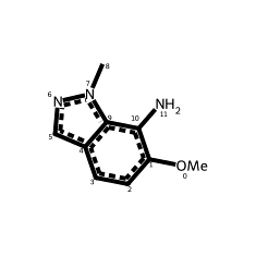 COc1ccc2cnn(C)c2c1N